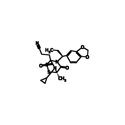 CC[C@@H](c1ccc2c(c1)OCO2)N1C(=O)[C@@]2(C)SSC1(CCC#N)C(=O)N2C1CC1